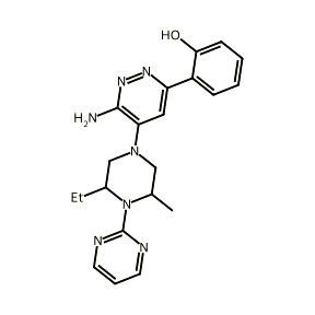 CCC1CN(c2cc(-c3ccccc3O)nnc2N)CC(C)N1c1ncccn1